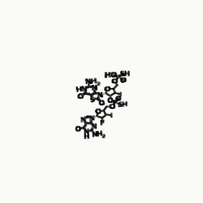 Nc1nc2c(ncn2[C@@H]2OC(COP(=O)(S)O[C@@H]3C(I)C(COP(=O)(O)S)O[C@H]3n3c(=O)sc4c(=O)[nH]c(N)nc43)C(I)[C@H]2F)c(=O)[nH]1